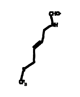 O=[C]NCC=CCSC(F)(F)F